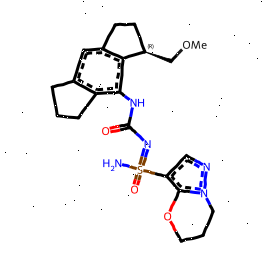 COC[C@@H]1CCc2cc3c(c(NC(=O)N=S(N)(=O)c4cnn5c4OCCC5)c21)CCC3